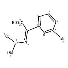 CCOC(=O)C(=N[S+]([O-])C(C)(C)C)c1cccc(Br)c1